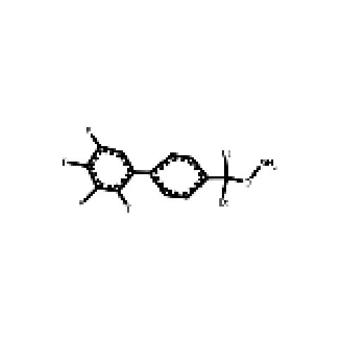 CCC(CC)(O[SiH3])c1ccc(-c2cc(F)c(F)c(F)c2F)cc1